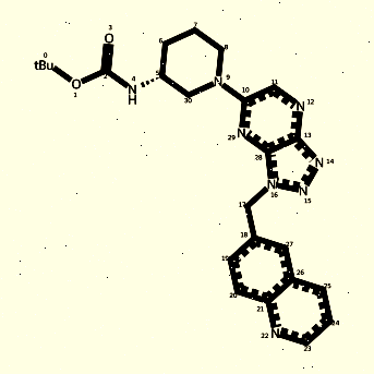 CC(C)(C)OC(=O)N[C@@H]1CCCN(c2cnc3nnn(Cc4ccc5ncccc5c4)c3n2)C1